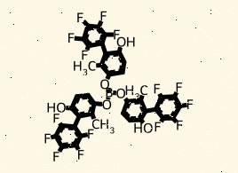 Cc1c(OB(Oc2ccc(O)c(-c3c(F)c(F)c(F)c(F)c3F)c2C)Oc2ccc(O)c(-c3c(F)c(F)c(F)c(F)c3F)c2C)ccc(O)c1-c1c(F)c(F)c(F)c(F)c1F